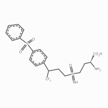 N=S(=O)(CCC(c1ccc(S(=O)(=O)c2ccccc2)cc1)C(F)(F)F)CC[C@H](N)C(=O)O